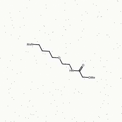 CNCCCCOCCNC(=O)COC